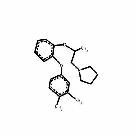 CC(CN1CCCC1)Oc1ccccc1Oc1ccc(N)c(N)c1